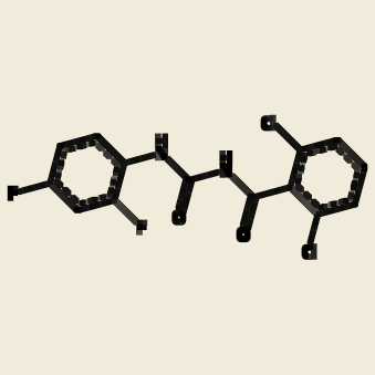 O=C(NC(=O)c1c(Cl)cccc1Cl)Nc1ccc(F)cc1F